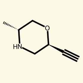 C#C[C@H]1CN[C@H](C)CO1